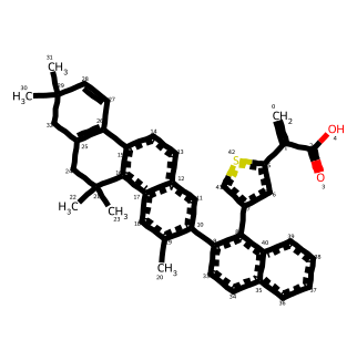 C=C(C(=O)O)c1cc(-c2c(-c3cc4ccc5c(c4cc3C)C(C)(C)CC3=C5C=CC(C)(C)C3)ccc3ccccc23)cs1